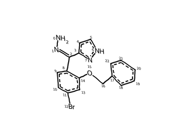 NN=C(c1cc[nH]n1)c1ccc(Br)cc1OCc1ccccc1